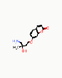 CC(O)(CN)CCOc1ccc2ccc(=O)oc2c1